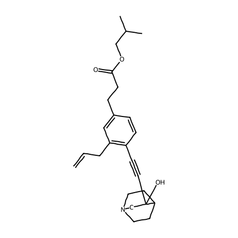 C=CCc1cc(CCC(=O)OCC(C)C)ccc1C#CC1(O)CN2CCC1CC2